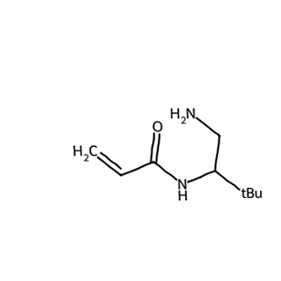 C=CC(=O)NC(CN)C(C)(C)C